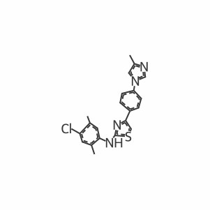 Cc1cn(-c2ccc(-c3csc(Nc4cc(C)c(Cl)cc4C)n3)cc2)cn1